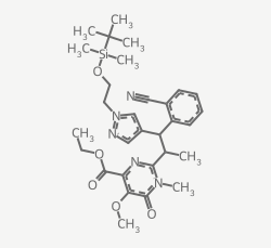 CCOC(=O)c1nc(C(C)C(c2cnn(CCO[Si](C)(C)C(C)(C)C)c2)c2ccccc2C#N)n(C)c(=O)c1OC